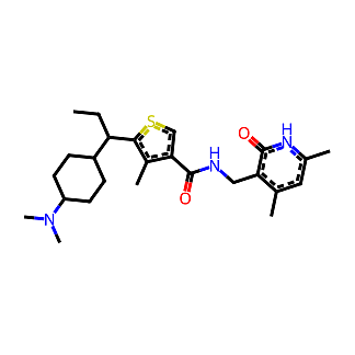 CCC(c1scc(C(=O)NCc2c(C)cc(C)[nH]c2=O)c1C)C1CCC(N(C)C)CC1